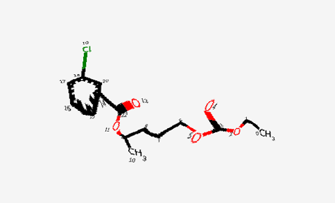 CCOC(=O)OCCCC(C)OC(=O)c1cccc(Cl)c1